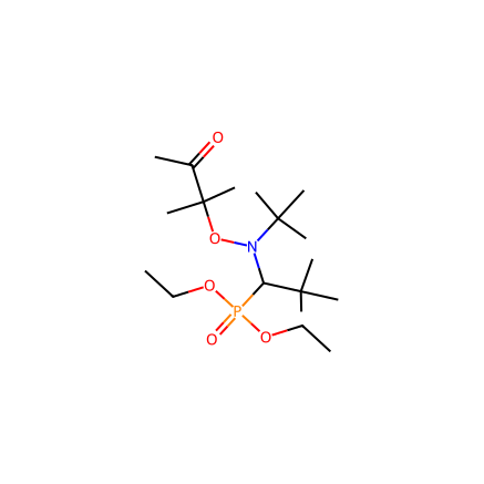 CCOP(=O)(OCC)C(N(OC(C)(C)C(C)=O)C(C)(C)C)C(C)(C)C